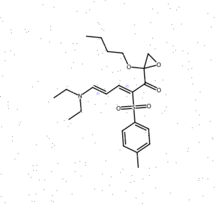 CCCCOC1(C(=O)/C(=C/C=C/N(CC)CC)S(=O)(=O)c2ccc(C)cc2)CO1